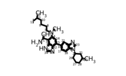 C=C(N)c1c(N(C)CCCCC(C)I)cc(-c2ccc3c(c2)ncn3C2CCC[C@H](C)C2)c2nc[nH]c12